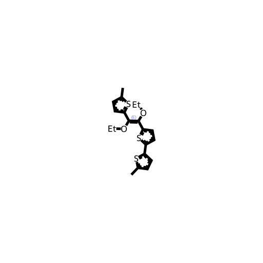 CCO/C(=C(/OCC)c1ccc(-c2ccc(C)s2)s1)c1ccc(C)s1